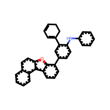 C1=CCCC(c2cc(-c3cccc4c3oc3ccc5ccccc5c34)ccc2Nc2ccccc2)=C1